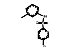 Cc1cccc(NS(=O)(=O)c2ccc(C(C)C)cn2)c1